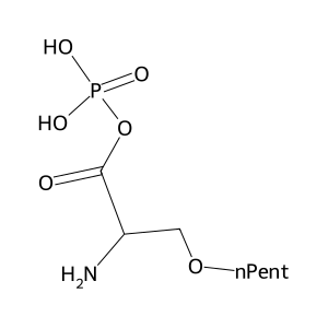 CCCCCOCC(N)C(=O)OP(=O)(O)O